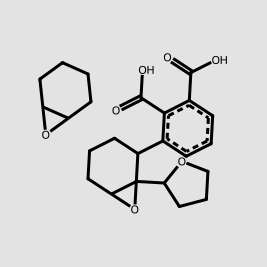 C1CCC2OC2C1.O=C(O)c1cccc(C2CCCC3OC32C2CCCO2)c1C(=O)O